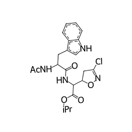 CC(=O)NC(Cc1c[nH]c2ccccc12)C(=O)NC(C(=O)OC(C)C)C1CC(Cl)=NO1